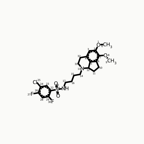 COc1cc2c3c(c1OC)CCC3N(CCCCNS(=O)(=O)c1cc(Cl)c(F)cc1F)CC2